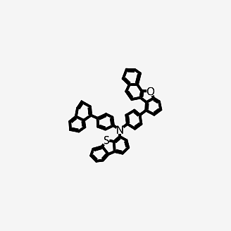 c1ccc2c(-c3ccc(N(c4ccc(-c5cccc6oc7c8ccccc8ccc7c56)cc4)c4cccc5c4sc4ccccc45)cc3)cccc2c1